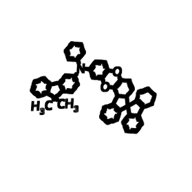 CC1(C)c2ccccc2-c2cc(N(c3ccccc3)c3ccc4c(c3)OC3=C(C=CC5C3c3ccccc3C53C5=C(CCC=C5)c5ccccc53)O4)ccc21